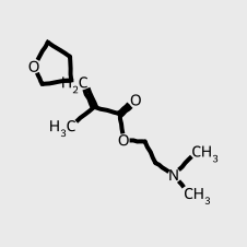 C1CCOC1.C=C(C)C(=O)OCCN(C)C